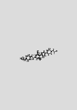 CCCC1CCC(c2ccc(-c3c(F)cc(CCC4CCC(COC)CC4)cc3F)cc2)CC1